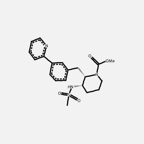 COC(=O)N1CCC[C@H](NS(C)(=O)=O)[C@@H]1Cc1cccc(-c2ccccn2)c1